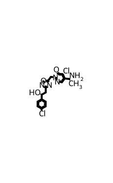 C[C@@H](N)c1cnn(Cc2nc(C[C@H](O)c3ccc(Cl)cc3)no2)c(=O)c1Cl